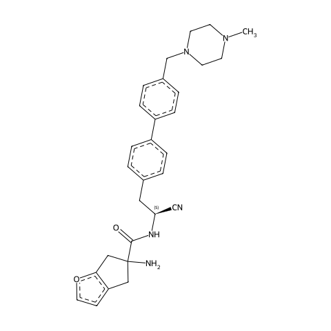 CN1CCN(Cc2ccc(-c3ccc(C[C@@H](C#N)NC(=O)C4(N)Cc5ccoc5C4)cc3)cc2)CC1